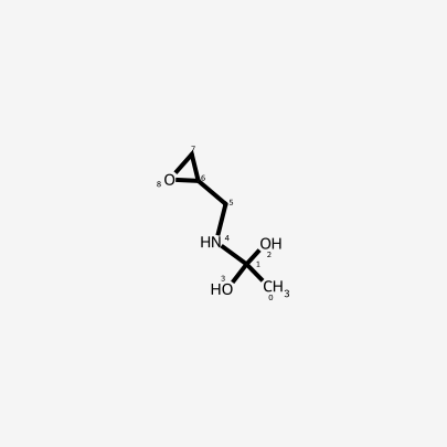 CC(O)(O)NCC1CO1